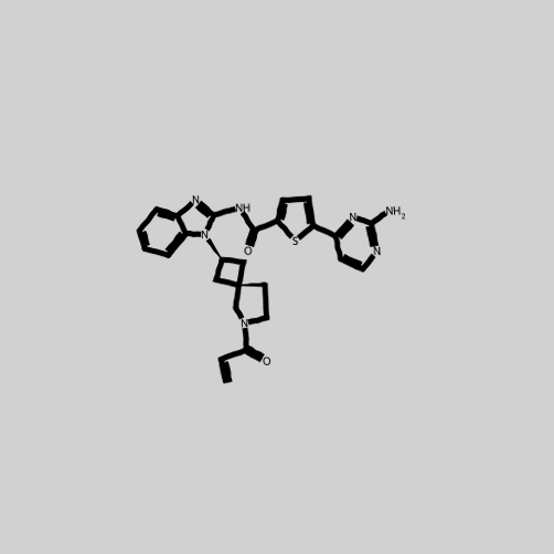 C=CC(=O)N1CC[C@]2(C1)C[C@H](n1c(NC(=O)c3ccc(-c4ccnc(N)n4)s3)nc3ccccc31)C2